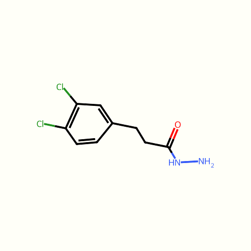 NNC(=O)CCc1ccc(Cl)c(Cl)c1